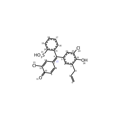 C=CCc1cc(/C(=C2\C=CC(=O)C(Cl)=C2)c2ccccc2S(=O)(=O)O)cc(Cl)c1O